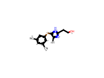 CCc1nc(CCO)[nH]c1Sc1cc(C#N)cc(C#N)c1